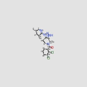 Cc1cnc(N2NNC3=C2C=CN(C(=O)c2cccc(Cl)c2Cl)C3C)c(C)c1